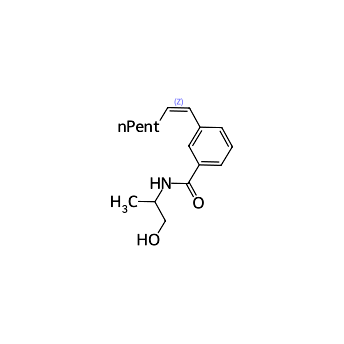 CCCCC/C=C\c1cccc(C(=O)NC(C)CO)c1